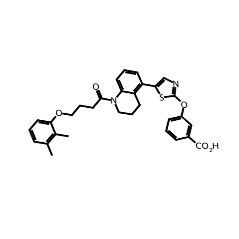 Cc1cccc(OCCCC(=O)N2CCCc3c(-c4cnc(Oc5cccc(C(=O)O)c5)s4)cccc32)c1C